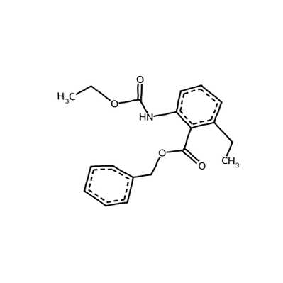 CCOC(=O)Nc1cccc(CC)c1C(=O)OCc1ccccc1